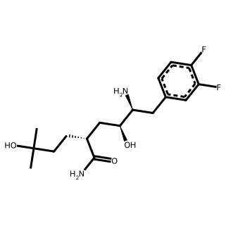 CC(C)(O)CC[C@H](C[C@H](O)[C@@H](N)Cc1ccc(F)c(F)c1)C(N)=O